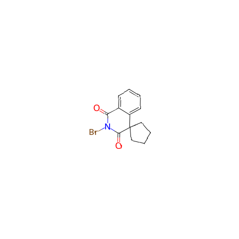 O=C1c2ccccc2C2(CCCC2)C(=O)N1Br